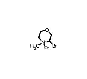 CC[N+]1(C)CCOCC1Br